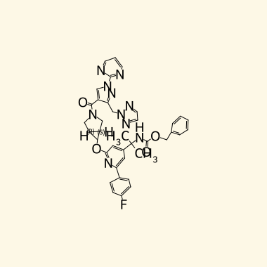 CC(C)(NC(=O)OCc1ccccc1)c1cc(OC2[C@H]3CN(C(=O)c4cn(-c5ncccn5)nc4Cn4nccn4)C[C@@H]23)nc(-c2ccc(F)cc2)c1